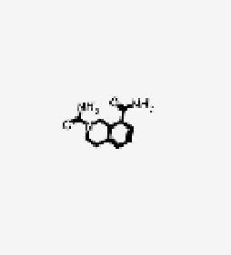 NC(=O)C1C=CC=C2CCN(C(N)=O)CC21